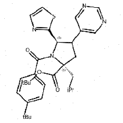 CC(C)C[C@@]1(C(=O)OC(C)(C)C)CC(c2cncnc2)[C@H](c2nccs2)N1C(=O)c1ccc(C(C)(C)C)cc1